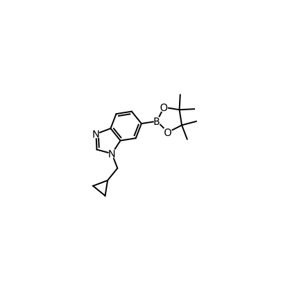 CC1(C)OB(c2ccc3ncn(CC4CC4)c3c2)OC1(C)C